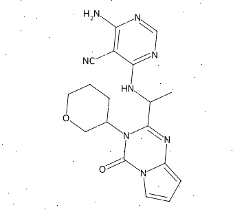 CC(Nc1ncnc(N)c1C#N)c1nc2cccn2c(=O)n1C1CCCOC1